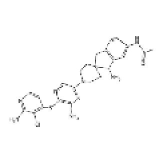 CC(=O)Nc1ccc2c(c1)C(N)C1(CCN(c3cnc(Sc4ccnc(N)c4Cl)c(N)n3)CC1)C2